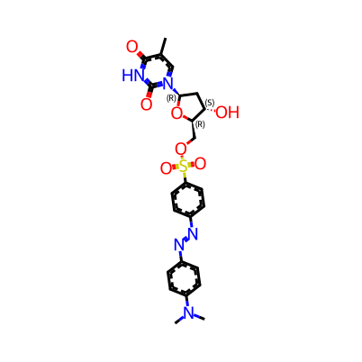 Cc1cn([C@H]2C[C@H](O)[C@@H](COS(=O)(=O)c3ccc(N=Nc4ccc(N(C)C)cc4)cc3)O2)c(=O)[nH]c1=O